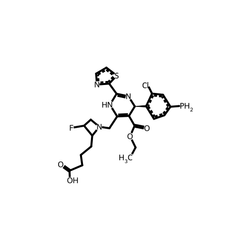 CCOC(=O)C1=C(CN2CC(F)C2CCCC(=O)O)NC(c2nccs2)=N[C@H]1c1ccc(P)cc1Cl